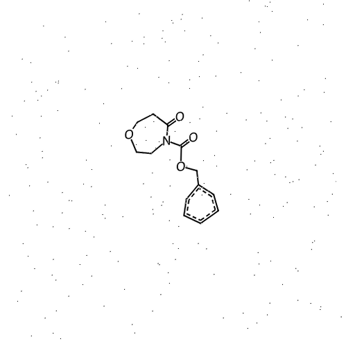 O=C1CCOCCN1C(=O)OCc1ccccc1